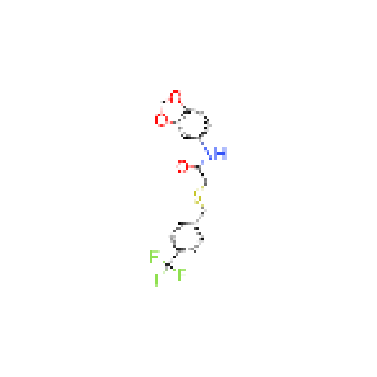 O=C(CSCc1ccc(C(F)(F)F)cc1)Nc1ccc2c(c1)OCO2